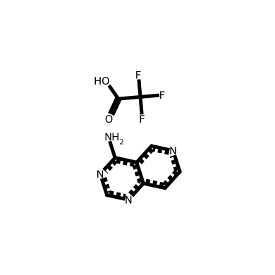 Nc1ncnc2ccncc12.O=C(O)C(F)(F)F